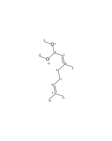 COC(/C=C(/C)CCC=C(C)C)OC